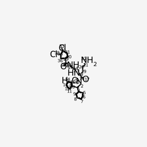 CN(CC(c1ccccc1)c1ccccc1)C(=O)[C@H](CCCN)NCCNC(=O)c1ccc(Cl)c(Cl)c1